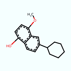 COc1ccc(O)c2ccc(C3CCCCC3)cc12